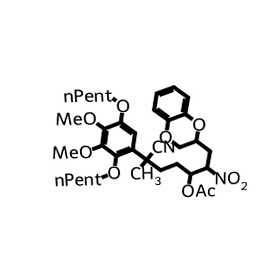 CCCCCOc1cc(C(C)(C#N)CCC(OC(C)=O)C(CC2COc3ccccc3O2)[N+](=O)[O-])c(OCCCCC)c(OC)c1OC